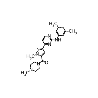 Cc1cc(C)cc(Nc2nccc(-c3cc(C(=O)N4CCN(C)CC4)n(C)n3)n2)c1